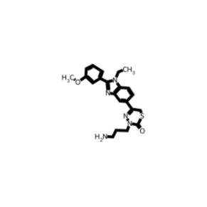 CCn1c(-c2cccc(OC)c2)nc2cc(C3=NN(CCCN)C(=O)SC3)ccc21